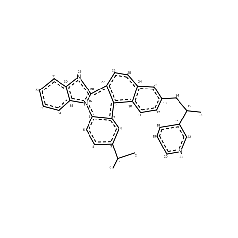 CC(C)c1ccc2c(c1)c1c3ccc(CC(C)c4cccnc4)cc3ccc1c1nc3ccccc3n21